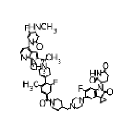 CNc1cc(=O)n(-c2ccnc3c2cc([C@H](C)N2CC=C(c4c(C)cc(C(=O)N5CCC(CN6CCN(c7cc8c(cc7F)N(C7CCC(=O)NC7=O)C(=O)C87CC7)CC6)CC5)cc4F)CC2)n3C)cc1F